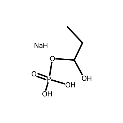 CCC(O)OP(=O)(O)O.[NaH]